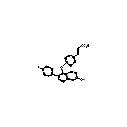 O=C(O)C=Cc1ccc(Oc2c(-c3ccc(F)cc3)ccc3cc(O)ccc23)cc1